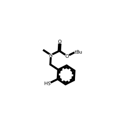 CN(Cc1ccccc1S)C(=O)OC(C)(C)C